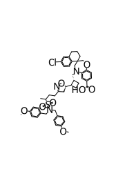 COc1ccc(CN(Cc2ccc(OC)cc2)S(=O)(=O)C(C)CCC2=NO[C@@H]([C@@H]3CC[C@H]3CN3CC4(CCCc5cc(Cl)ccc54)COc4ccc(C(=O)O)cc43)C2)cc1